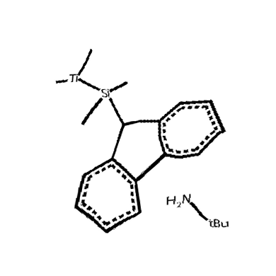 CC(C)(C)N.[CH3][Ti]([CH3])[Si](C)(C)C1c2ccccc2-c2ccccc21